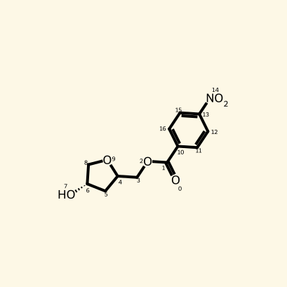 O=C(OCC1C[C@H](O)CO1)c1ccc([N+](=O)[O-])cc1